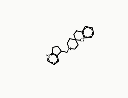 c1ccc2c(c1)CCC1(CCN(CC3CCc4ncccc43)CC1)O2